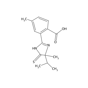 Cc1ccc(C(=O)O)c(C2=NC(C)(C(C)C)C(=S)N2)c1